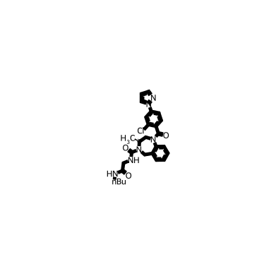 CCCCNC(=O)CNC(=O)N1Cc2ccccc2N(C(=O)c2ccc(-n3cccn3)cc2Cl)C[C@H]1C